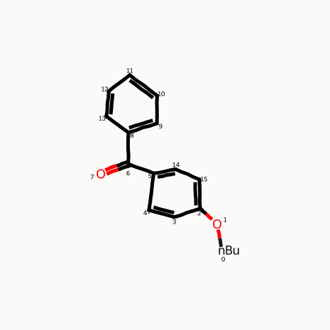 CCCCOc1c[c]c(C(=O)c2ccccc2)cc1